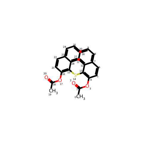 CC(=O)Oc1ccc2ccccc2c1Sc1c(OC(C)=O)ccc2ccccc12